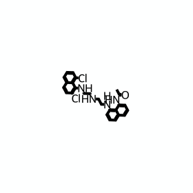 CC(=O)Nc1cccc2cccc(NCCNCCNc3c(Cl)ccc4cccc(Cl)c34)c12